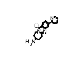 NC1CCc2nc3cc(-c4ccccn4)ccc3c(=O)n2CC1